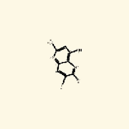 Cc1cc(O)c2nc(Br)c(F)cc2n1